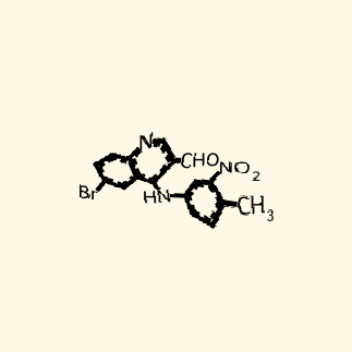 Cc1ccc(Nc2c(C=O)cnc3ccc(Br)cc23)cc1[N+](=O)[O-]